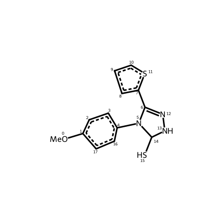 COc1ccc(N2C(c3cccs3)=NNC2S)cc1